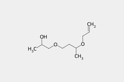 C=CCOC(C)CCOCC(C)O